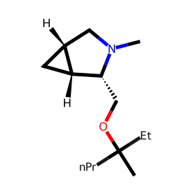 CCCC(C)(CC)OC[C@@H]1[C@@H]2C[C@@H]2CN1C